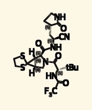 CC(C)(C)[C@H](NC(=O)C(F)(F)F)C(=O)N1C[C@H]2[C@@H]([C@H]1C(=O)N[C@H](C#N)C[C@@H]1CCNC1=O)C21SCCS1